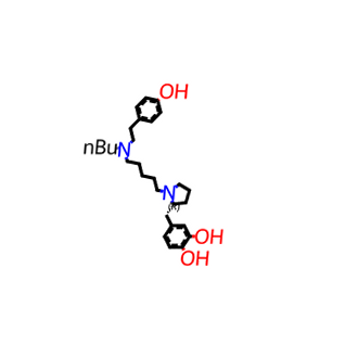 CCCCN(CCCCCN1CCC[C@@H]1Cc1ccc(O)c(O)c1)CCc1ccc(O)cc1